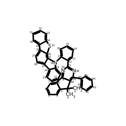 CC1(C)c2ccccc2-c2nc(-c3ccccc3-n3c4ccccc4c4ccc5c6ccccc6sc5c43)nc(-c3ccccc3)c21